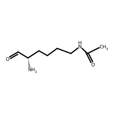 CC(=O)NCCCC[C@H](N)[C]=O